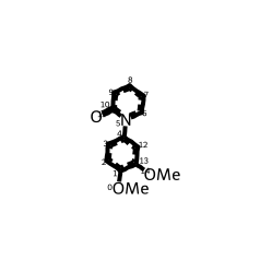 COc1ccc(-n2ccccc2=O)cc1OC